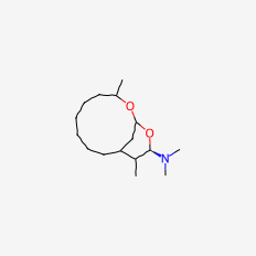 CC1CCCCCCC2CC(O1)O[C@@H](N(C)C)C2C